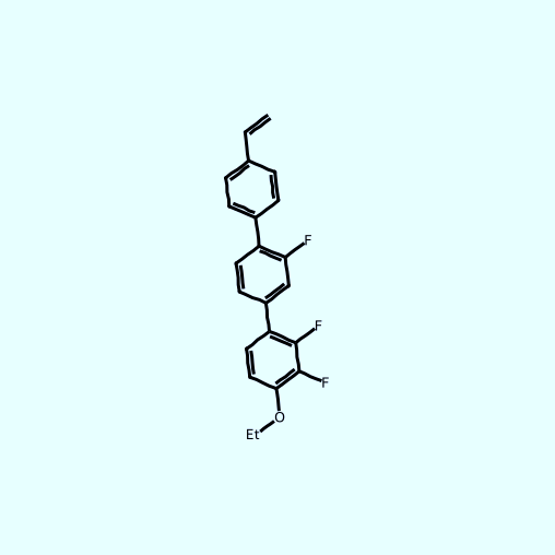 C=Cc1ccc(-c2ccc(-c3ccc(OCC)c(F)c3F)cc2F)cc1